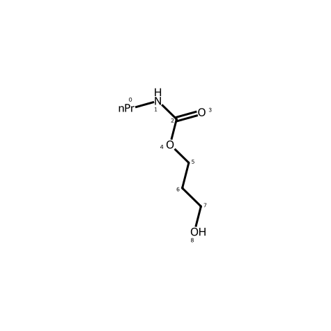 [CH2]CCNC(=O)OCCCO